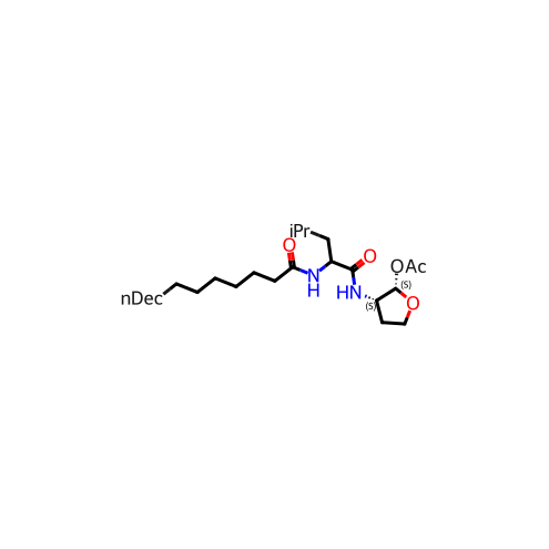 CCCCCCCCCCCCCCCCC(=O)NC(CC(C)C)C(=O)N[C@H]1CCO[C@H]1OC(C)=O